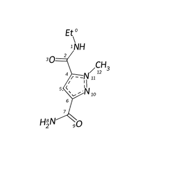 CCNC(=O)c1[c]c(C(N)=O)nn1C